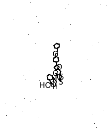 O=C(O)c1ccccc1NN1C(=O)/C(=C\c2ccc(-c3ccc(OCc4ccccc4)cc3)o2)SC1=S